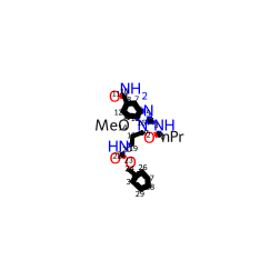 CCCC(=O)Nc1nc2cc(C(N)=O)cc(OC)c2n1CCCNC(=O)OCc1ccccc1